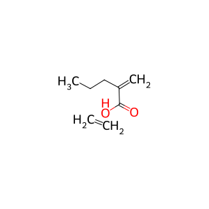 C=C.C=C(CCC)C(=O)O